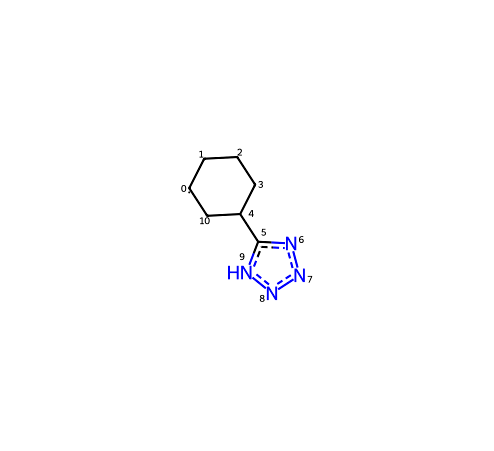 [CH]1CCCC(c2nnn[nH]2)C1